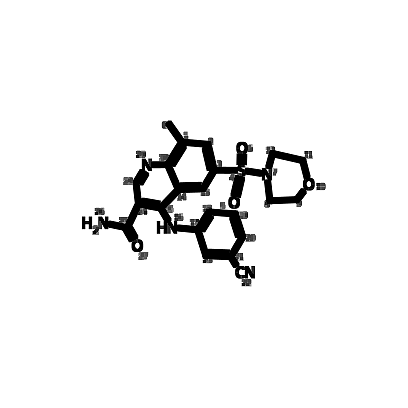 Cc1cc(S(=O)(=O)N2CCOCC2)cc2c(Nc3cccc(C#N)c3)c(C(N)=O)cnc12